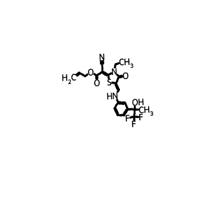 C=CCOC(=O)C(C#N)=c1sc(=CNc2cccc(C(C)(O)C(F)(F)F)c2)c(=O)n1CC